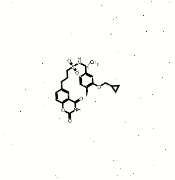 C[C@@H](NS(=O)(=O)CCCc1ccc2oc(=O)[nH]c(=O)c2c1)c1ccc(F)c(OCC2CC2)c1